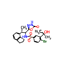 CC(c1cccc2c1CCC2)C(NS(=O)(=O)c1ccc(Br)c(C(C)(C)O)c1)c1n[nH]c(=O)o1